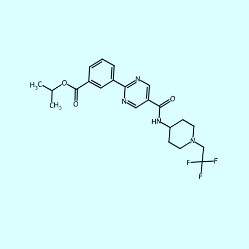 CC(C)OC(=O)c1cccc(-c2ncc(C(=O)NC3CCN(CC(F)(F)F)CC3)cn2)c1